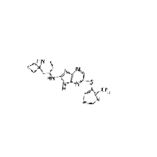 FC(F)(F)c1ncccc1Sc1cnc2nc(NC3CCNC4(CCC4)C3)[nH]c2n1